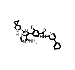 Nc1nccn2c([C@@H]3CC4(CC4)CN3)nc(-c3ccc(C(=O)Nc4cc(-c5ccccc5)ccn4)cc3F)c12